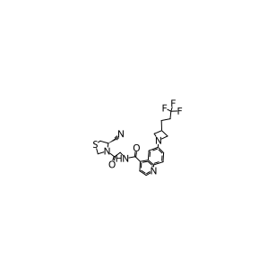 N#C[C@@H]1CSCN1C(=O)CNC(=O)c1ccnc2ccc(N3CC(CCC(F)(F)F)C3)cc12